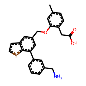 Cc1ccc(CC(=O)O)c(OCc2cc(-c3cccc(CN)c3)c3sccc3c2)c1